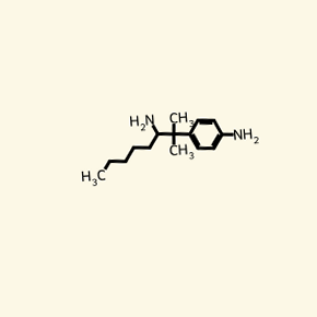 CCCCCC(N)C(C)(C)c1ccc(N)cc1